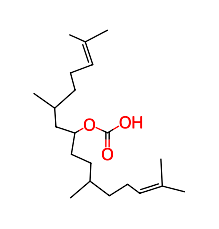 CC(C)=CCCC(C)CCC(CC(C)CCC=C(C)C)OC(=O)O